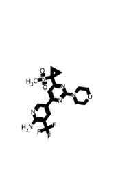 CS(=O)(=O)C1(c2cc(-c3cnc(N)c(C(F)(F)F)c3)nc(N3CCOCC3)n2)CC1